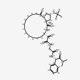 CN(C)C(=O)[C@@H](NC(=O)CNC(=O)C(=O)[C@@H]1CCCCCCCCCCCC(=O)N2C[C@H](OC(C)(C)C)C[C@H]2C(=O)N1)c1ccccc1